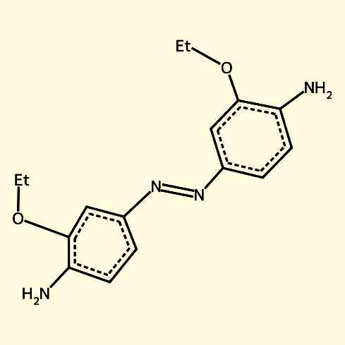 CCOc1cc(N=Nc2ccc(N)c(OCC)c2)ccc1N